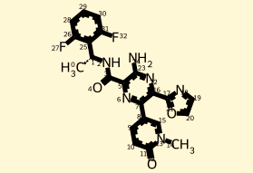 C[C@@H](NC(=O)c1nc(-c2ccc(=O)n(C)c2)c(-c2ncco2)nc1N)c1c(F)cccc1F